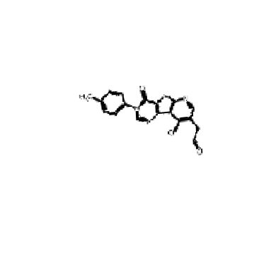 Cc1ccc(-n2cnc3c(sc4ncc(CC=O)c(Cl)c43)c2=O)cc1